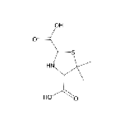 CC1(C)SC(C(=O)O)NC1C(=O)O